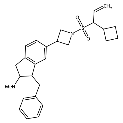 C=CC(C1CCC1)S(=O)(=O)N1CC(c2ccc3c(c2)C(Cc2ccccc2)C(NC)C3)C1